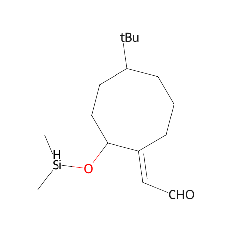 C[SiH](C)OC1CCC(C(C)(C)C)CCCC1=CC=O